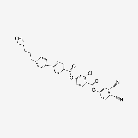 CCCCCCc1ccc(-c2ccc(C(=O)Oc3ccc(C(=O)Oc4ccc(C#N)c(C#N)c4)c(Cl)c3)cc2)cc1